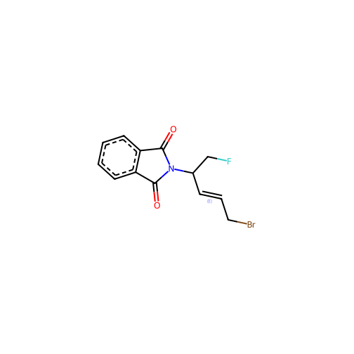 O=C1c2ccccc2C(=O)N1C(/C=C/CBr)CF